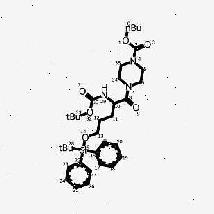 CCCCOC(=O)N1CCN(C(=O)C(CCCO[Si](c2ccccc2)(c2ccccc2)C(C)(C)C)NC(=O)OC(C)(C)C)CC1